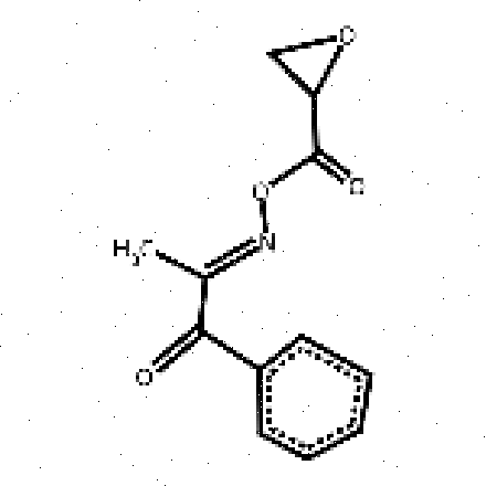 CC(=NOC(=O)C1CO1)C(=O)c1ccccc1